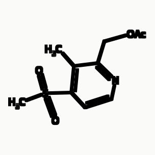 CC(=O)OCc1nccc(S(C)(=O)=O)c1C